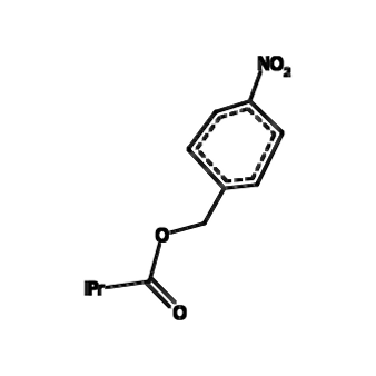 CC(C)C(=O)OCc1ccc([N+](=O)[O-])cc1